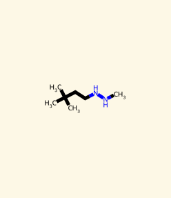 CNNCCC(C)(C)C